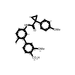 COc1ccc(C2(C(=O)Nc3ccc(C)c(-c4ccc(C(=O)O)c(OC)c4)c3)CC2)cc1